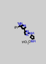 CC(C)c1c2cc(-c3ccnc(N[C@H]4CC[C@H](NC(=O)O)C4)n3)cnc2nn1C